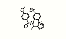 COc1ccc(C(=O)N2c3cc(Br)ccc3-n3cccc3C2C)cc1